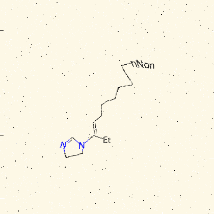 CCCCCCCCCCCCCCCC=C(CC)N1C=NCC1